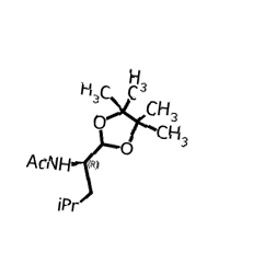 CC(=O)N[C@H](CC(C)C)C1OC(C)(C)C(C)(C)O1